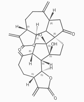 C=C1CC[C@H]2C(=C)C(=O)O[C@@H]2C2[C@H]1CC(=O)[C@]21CC[C@]2(O)[C@@H]3[C@H]4OC(=O)C(=C)[C@@H]4CCC(=C)[C@@H]3C[C@]12O